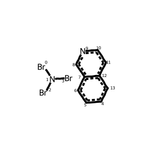 BrN(Br)Br.c1ccc2cnccc2c1